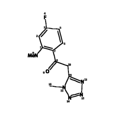 CNc1cc(F)ccc1C(=O)Cc1nnnn1C